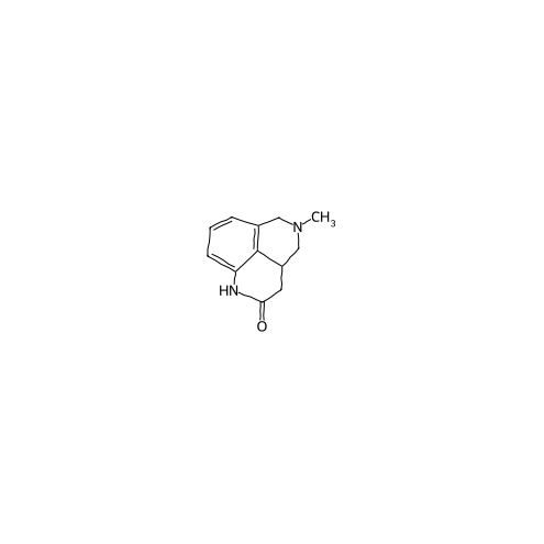 CN1Cc2cccc3c2C(CC(=O)N3)C1